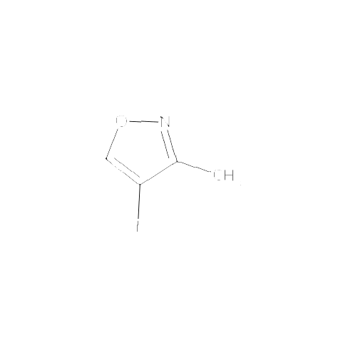 Cc1nocc1I